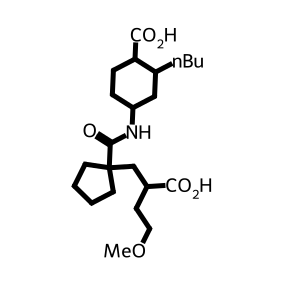 CCCCC1CC(NC(=O)C2(CC(CCOC)C(=O)O)CCCC2)CCC1C(=O)O